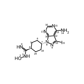 N=C(NO)[C@H]1CC[C@H](n2nc(I)c3c(N)ncnc32)CC1